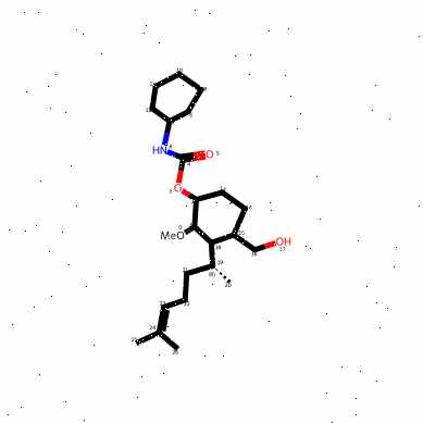 COC1C(OC(=O)NC2CCCCC2)CCC(CO)C1[C@H](C)CCC=C(C)C